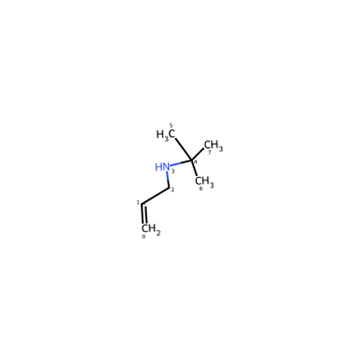 C=[C]CNC(C)(C)C